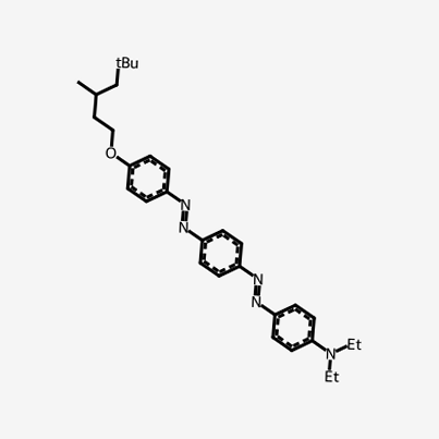 CCN(CC)c1ccc(N=Nc2ccc(N=Nc3ccc(OCCC(C)CC(C)(C)C)cc3)cc2)cc1